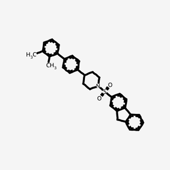 Cc1cccc(-c2ccc(C3CCN(S(=O)(=O)c4ccc5c(c4)Cc4ccccc4-5)CC3)cc2)c1C